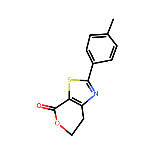 Cc1ccc(-c2nc3c(s2)C(=O)OCC3)cc1